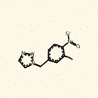 Cc1cc(Cn2ccnn2)ccc1[N+](=O)[O-]